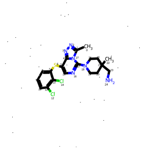 Cc1nnc2c(Sc3cccc(Cl)c3Cl)cnc(N3CCC(C)(CN)CC3)n12